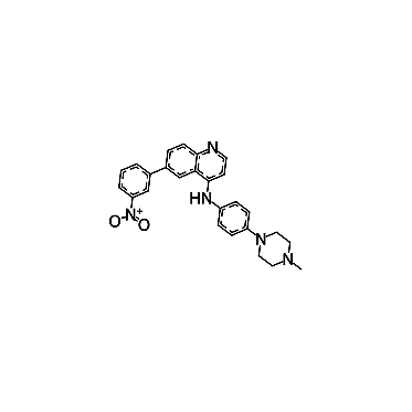 CN1CCN(c2ccc(Nc3ccnc4ccc(-c5cccc([N+](=O)[O-])c5)cc34)cc2)CC1